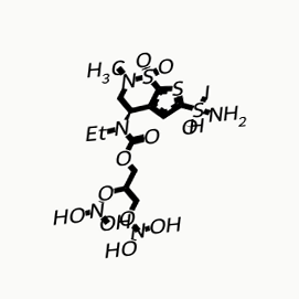 CCN(C(=O)OCC(CON(O)O)ON(O)O)[C@H]1CN(C)S(=O)(=O)c2sc([SH](N)(=O)I)cc21